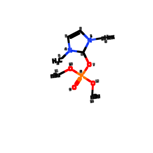 CCCCCCN1C=CN(C)C1OP(=O)(OCCCC)OCCCC